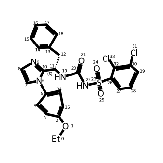 CCOc1ccc(-n2ccnc2[C@H](Cc2ccccc2)NC(=O)NS(=O)(=O)c2cccc(Cl)c2Cl)cc1